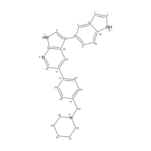 c1cc2cc(-c3c[nH]c4ncc(-c5ccc(CN6CCCCC6)cc5)cc34)ccc2[nH]1